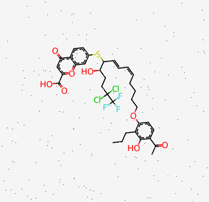 CCCc1c(OCCCC/C=C\C=C\[C@H](Sc2ccc3c(=O)cc(C(=O)O)oc3c2)[C@H](O)CCC(Cl)(Cl)C(F)(F)F)ccc(C(C)=O)c1O